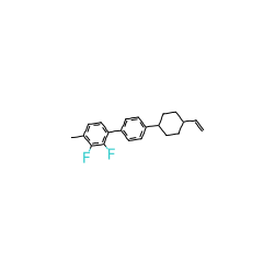 C=CC1CCC(c2ccc(-c3ccc(C)c(F)c3F)cc2)CC1